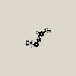 O=C(Nc1cccc(-c2cn(Cc3ccc(-c4nnc(C(F)F)o4)cc3Cl)nn2)c1)N1CCOCC1